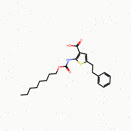 CCCCCCCCOC(=O)Nc1sc(CCc2ccccc2)cc1C(=O)O